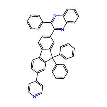 c1ccc(-c2nc3ccccc3nc2-c2ccc3c(c2)C(c2ccccc2)(c2ccccc2)c2cc(-c4ccncc4)ccc2-3)cc1